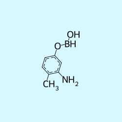 Cc1ccc(OBO)cc1N